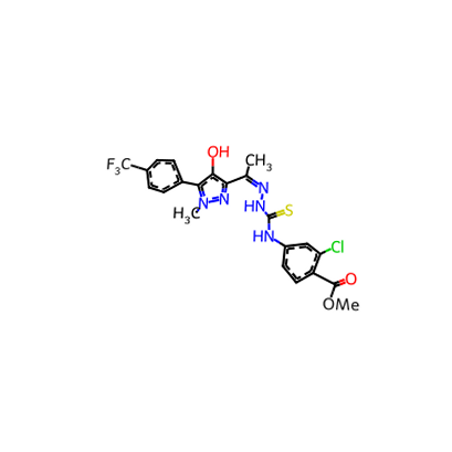 COC(=O)c1ccc(NC(=S)NN=C(C)c2nn(C)c(-c3ccc(C(F)(F)F)cc3)c2O)cc1Cl